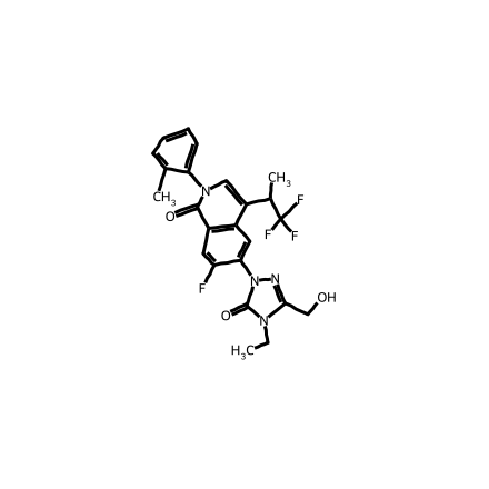 CCn1c(CO)nn(-c2cc3c(C(C)C(F)(F)F)cn(-c4ccccc4C)c(=O)c3cc2F)c1=O